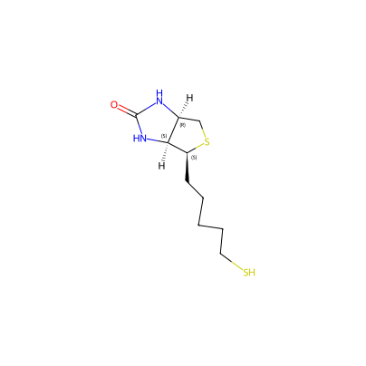 O=C1N[C@H]2[C@H](CS[C@H]2CCCCCS)N1